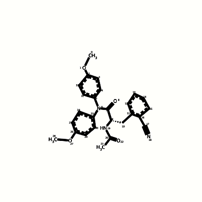 COc1ccc(N(C(=O)[C@H](Cc2ccccc2C#N)NC(C)=O)c2ccc(OC)cc2)cc1